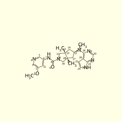 COc1cncc(NC(=O)N2C[C@]3(C)C[C@@H](N(C)c4ncnc5[nH]ccc45)C[C@]3(C)C2)c1